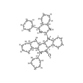 O=c1c2c3ccccc3n(-c3nc(-c4ccccc4)c4ccccc4n3)c2c2sc3ccccc3c2n1-c1ccccc1